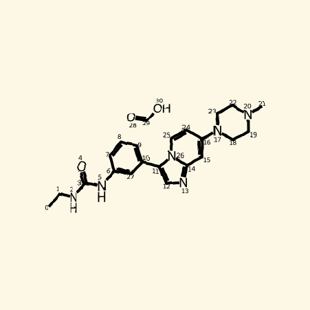 CCNC(=O)Nc1cccc(-c2cnc3cc(N4CCN(C)CC4)ccn23)c1.O=CO